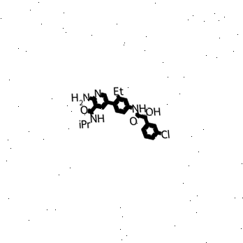 CCc1cc(NC(=O)[C@@H](O)c2cccc(Cl)c2)ccc1-c1cnc(N)c(C(=O)NC(C)C)c1